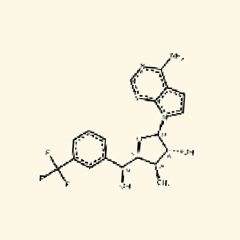 C[C@@H]1[C@@H](O)[C@H](n2ccc3c(N)ncnc32)O[C@@H]1[C@@H](O)c1cccc(C(F)(F)F)c1